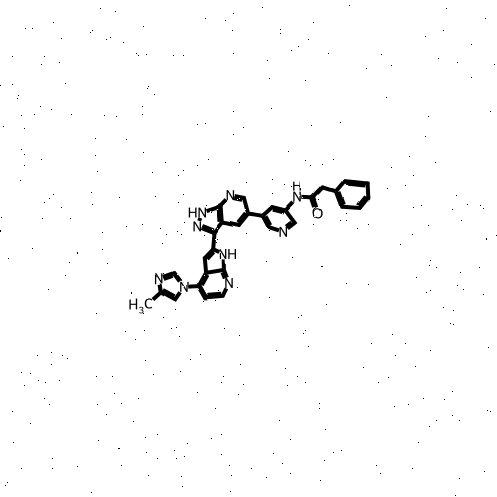 Cc1cn(-c2ccnc3[nH]c(-c4n[nH]c5ncc(-c6cncc(NC(=O)Cc7ccccc7)c6)cc45)cc23)cn1